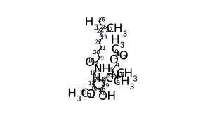 CC(=O)OCC[N+](C)(C)C.COc1cc(CNC(=O)CCCC/C=C/C(C)C)ccc1O